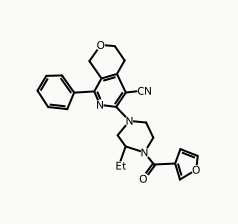 CCC1CN(c2nc(-c3ccccc3)c3c(c2C#N)CCOC3)CCN1C(=O)c1ccoc1